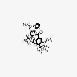 COC[C@H]1C[C@](CC(C)C)(OC(=O)O)N(C(=O)c2ccc(C(C)(C)C)c(OC)c2)[C@H]1c1nccs1